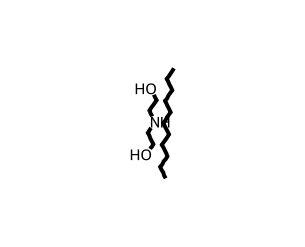 CCCCCCCCCCC.OCCNCCO